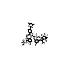 Cc1cc(C)nc(-c2ccc3c(=O)n(-c4ccc(Cl)c5c(NS(C)(=O)=O)nn(C)c45)c(C(Cc4cc(F)cc(F)c4)NC(=O)Cn4nc(C(F)F)c5c4C(F)(F)[C@@H]4C[C@H]54)nc3c2)n1